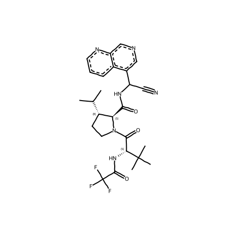 CC(C)[C@H]1CCN(C(=O)[C@@H](NC(=O)C(F)(F)F)C(C)(C)C)[C@@H]1C(=O)NC(C#N)c1cncc2ncccc12